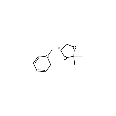 CC1(C)OC[C@@H](CN2C=CC=CC2)O1